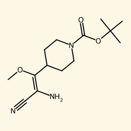 CO/C(=C(/N)C#N)C1CCN(C(=O)OC(C)(C)C)CC1